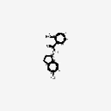 O=C(N[C@@H]1CCc2cc(Cl)ccc21)c1ccccc1O